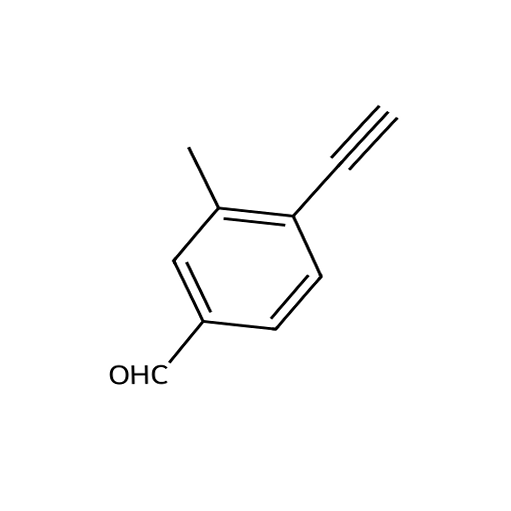 C#Cc1ccc(C=O)cc1C